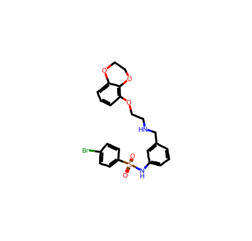 O=S(=O)(Nc1cccc(CNCCOc2cccc3c2OCCO3)c1)c1ccc(Br)cc1